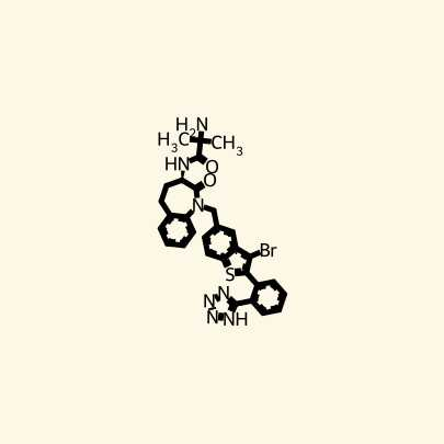 CC(C)(N)C(=O)N[C@@H]1CCc2ccccc2N(Cc2ccc3sc(-c4ccccc4-c4nnn[nH]4)c(Br)c3c2)C1=O